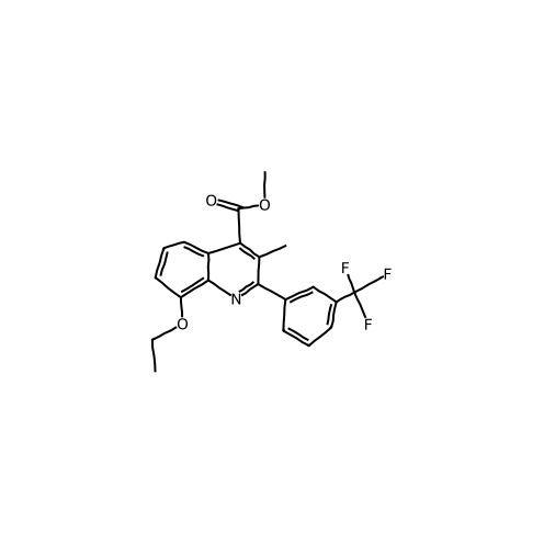 CCOc1cccc2c(C(=O)OC)c(C)c(-c3cccc(C(F)(F)F)c3)nc12